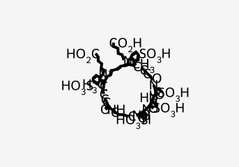 CC12CCCCCC(=O)NCCCCCNC(=O)C(CS(=O)(=O)O)NC(=O)C(CS(=O)(=O)O)NC(=O)C(CS(=O)(=O)O)NC(=O)CCCCCC3(C)/C(=C/C=C/C=C/C1=[N+](CCCCCC(=O)O)c1ccc(S(=O)(=O)O)cc12)N(CCCCCC(=O)O)c1ccc(S(=O)(=O)O)cc13